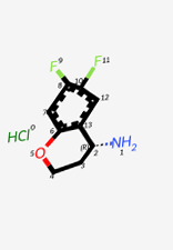 Cl.N[C@@H]1CCOc2cc(F)c(F)cc21